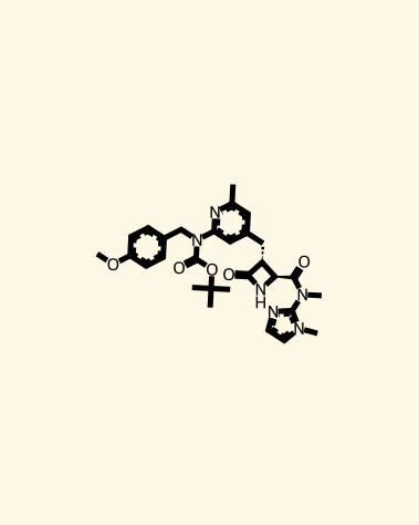 COc1ccc(CN(C(=O)OC(C)(C)C)c2cc(C[C@H]3C(=O)N[C@@H]3C(=O)N(C)c3nccn3C)cc(C)n2)cc1